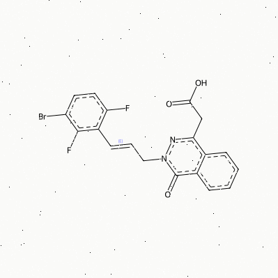 O=C(O)Cc1nn(C/C=C/c2c(F)ccc(Br)c2F)c(=O)c2ccccc12